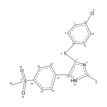 Cc1nc(Sc2ccc(Cl)cc2)c(-c2ccc(S(C)(=O)=O)cc2)[nH]1